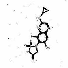 O=C1CN(c2c(O)cc3ncc(NC4CC4)nc3c2F)S(=O)(=O)N1